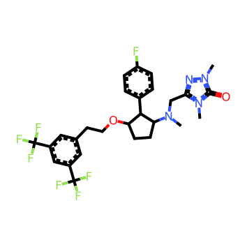 CN(Cc1nn(C)c(=O)n1C)C1CCC(OCCc2cc(C(F)(F)F)cc(C(F)(F)F)c2)C1c1ccc(F)cc1